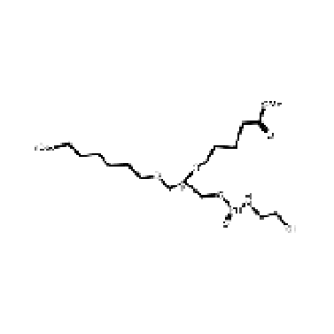 CCCCCCCCCCCCCCCCOC[C@H](CO[PH](=S)NCCO)OCCCCC(=O)OC